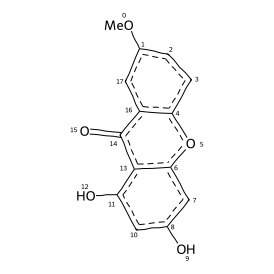 COc1ccc2oc3cc(O)cc(O)c3c(=O)c2c1